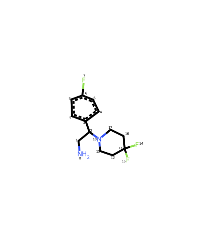 NCC(c1ccc(F)cc1)N1CCC(F)(F)CC1